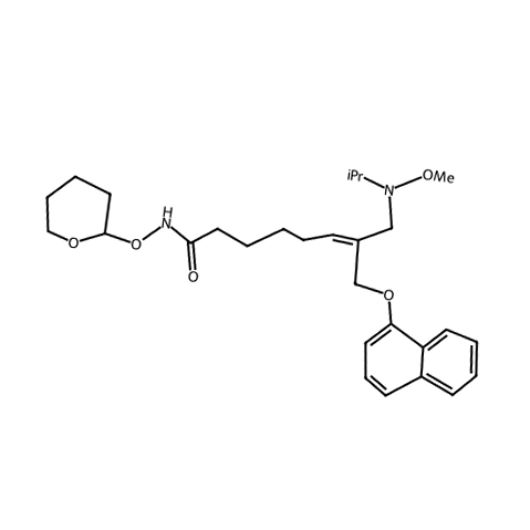 CON(C/C(=C/CCCCC(=O)NOC1CCCCO1)COc1cccc2ccccc12)C(C)C